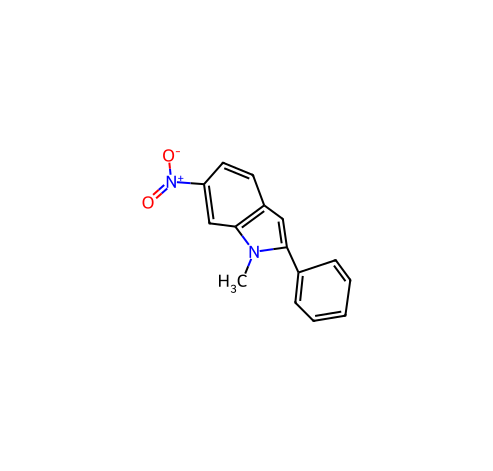 Cn1c(-c2ccccc2)cc2ccc([N+](=O)[O-])cc21